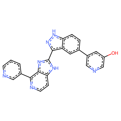 Oc1cncc(-c2ccc3[nH]nc(-c4nc5c(-c6cccnc6)nccc5[nH]4)c3c2)c1